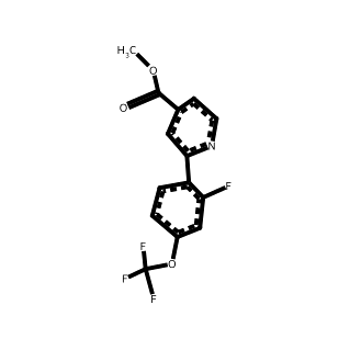 COC(=O)c1ccnc(-c2ccc(OC(F)(F)F)cc2F)c1